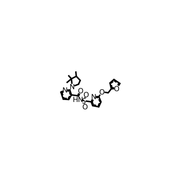 CC1CCN(c2ncccc2C(=O)NS(=O)(=O)c2cccc(OCc3ccco3)n2)C1(C)C